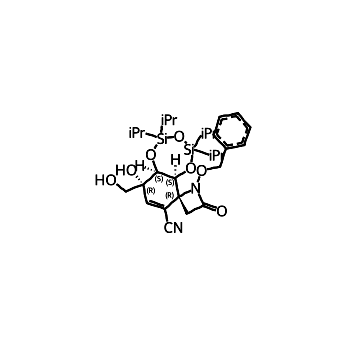 CC(C)[Si]1(C(C)C)O[C@@H]2[C@H](O[Si](C(C)C)(C(C)C)O1)[C@](O)(CO)C=C(C#N)[C@]21CC(=O)N1OCc1ccccc1